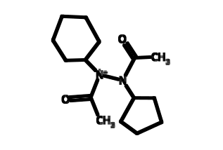 CC(=O)N(C1CCCC1)[N+](C(C)=O)C1CCCCC1